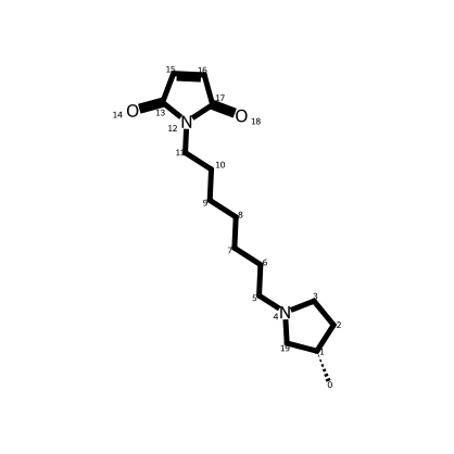 C[C@H]1CCN(CCCCCCCN2C(=O)C=CC2=O)C1